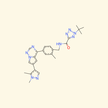 Cc1cc(-c2ncnn3cc(-c4cnn(C)c4C)cc23)ccc1CNC(=O)c1nnn(C(C)(C)C)n1